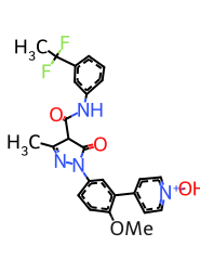 COc1ccc(N2N=C(C)C(C(=O)Nc3cccc(C(C)(F)F)c3)C2=O)cc1-c1cc[n+](O)cc1